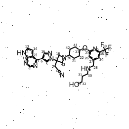 N#CCC1(n2cc(-c3ncnc4[nH]ccc34)cn2)CN(C2CCC(Oc3cc(CNCCCO)cc(C(F)(F)F)n3)CC2)C1